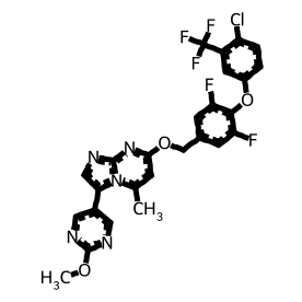 COc1ncc(-c2cnc3nc(OCc4cc(F)c(Oc5ccc(Cl)c(C(F)(F)F)c5)c(F)c4)cc(C)n23)cn1